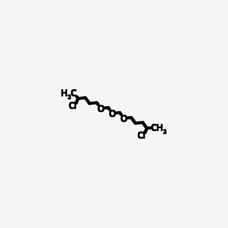 CC(Cl)CCCOCOCOCCCC(C)Cl